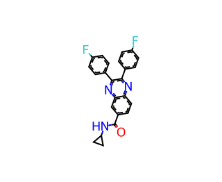 O=C(NC1CC1)c1ccc2nc(-c3ccc(F)cc3)c(-c3ccc(F)cc3)nc2c1